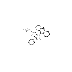 Cc1ccc(S(=O)(=O)N(CCCC(=O)O)C(=O)c2c3ccccc3nc3ccccc23)cc1